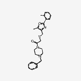 Cc1ccccc1-c1nc(CSCC(=O)N2CCN(Cc3ccccc3)CC2)c(C)o1